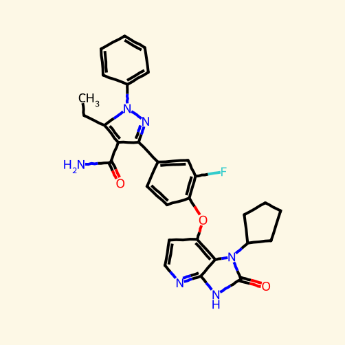 CCc1c(C(N)=O)c(-c2ccc(Oc3ccnc4[nH]c(=O)n(C5CCCC5)c34)c(F)c2)nn1-c1ccccc1